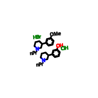 Br.CCCN1CCCC(c2cccc(O)c2)C1.CCCN1CCCC(c2cccc(OC)c2)C1.Cl